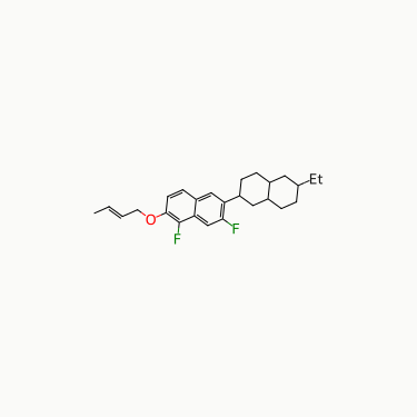 CC=CCOc1ccc2cc(C3CCC4CC(CC)CCC4C3)c(F)cc2c1F